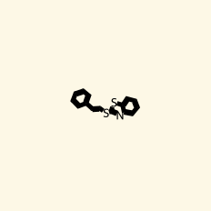 C(=Cc1ccccc1)Sc1nc2ccccc2s1